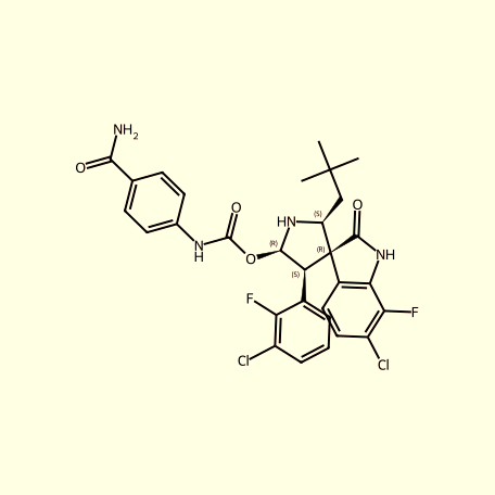 CC(C)(C)C[C@@H]1N[C@H](OC(=O)Nc2ccc(C(N)=O)cc2)[C@H](c2cccc(Cl)c2F)[C@]12C(=O)Nc1c2ccc(Cl)c1F